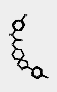 CCc1ccc(NC(=O)ON2CCC3(CC2)CC(c2ccc(C)cc2)=NO3)cc1